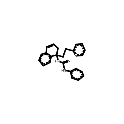 S=C(Nc1ccccc1)NC1(CCc2ccccn2)CC=Cc2ccccc21